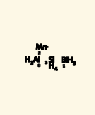 [AlH3].[BiH3].[Mn].[SiH4]